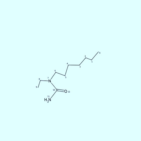 CCCCCCCN(CC)C(N)=O